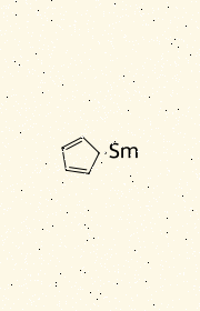 [CH]1C=CC=C1.[Sm]